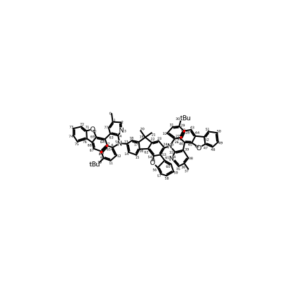 Cc1cnc(N(c2ccc(C(C)(C)C)cc2)c2ccc3c(c2)C(C)(C)c2cc(N(c4ccc(C(C)(C)C)cc4)c4ncc(C)cc4-c4cccc5c4oc4ccccc45)c4c(oc5ccccc54)c2-3)c(-c2cccc3c2oc2ccccc23)c1